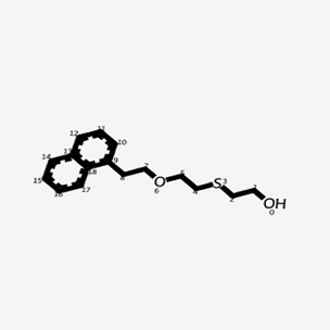 OCCSCCOCCc1cccc2ccccc12